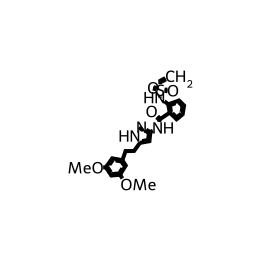 C=CS(=O)(=O)Nc1ccccc1C(=O)Nc1cc(CCc2cc(OC)cc(OC)c2)[nH]n1